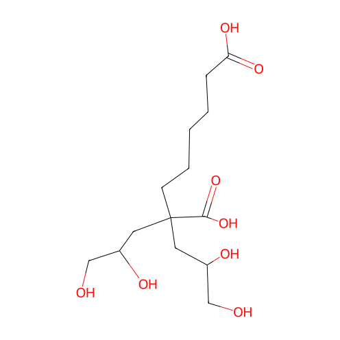 O=C(O)CCCCCC(CC(O)CO)(CC(O)CO)C(=O)O